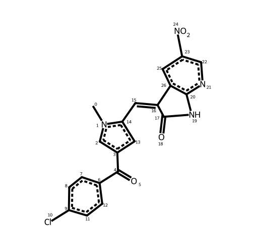 Cn1cc(C(=O)c2ccc(Cl)cc2)cc1C=C1C(=O)Nc2ncc([N+](=O)[O-])cc21